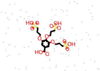 O=C(O)c1cc(OCCCS(=O)(=O)O)c(OCCCS(=O)(=O)O)c(OCCCS(=O)(=O)O)c1